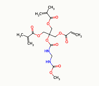 C=CC(=O)OCC(COC(=O)C(=C)C)(COC(=O)C(=C)C)OC(=O)NCNC(=O)OC